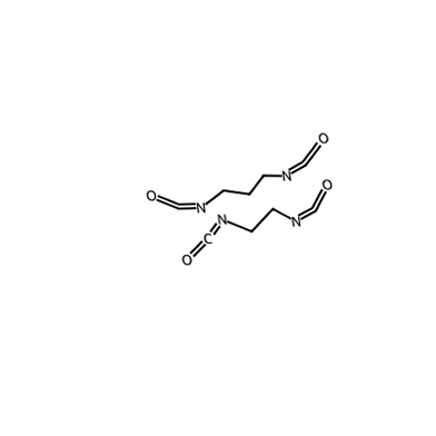 O=C=NCCCN=C=O.O=C=NCCN=C=O